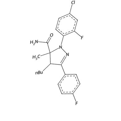 CCCCC1C(c2ccc(F)cc2)=NN(c2ccc(Cl)cc2F)C1(C)C(N)=O